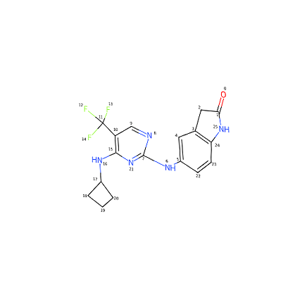 O=C1Cc2cc(Nc3ncc(C(F)(F)F)c(NC4CCC4)n3)ccc2N1